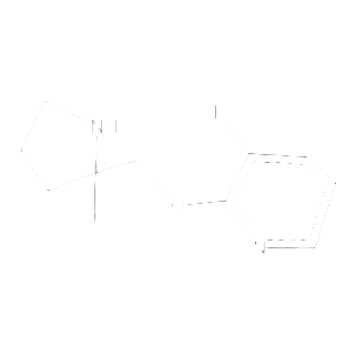 CC1(COc2ncccc2F)CCCN1